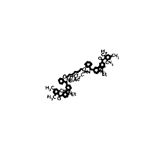 CCn1c2ccc(C(=O)c3c(C)cc(C)cc3C)cc2c2cc(C(=NCC(=O)O)c3ccccc3OCCCCCCOc3ccccc3C(=NOC(C)=O)c3ccc4c(c3)c3cc(C(=O)c5c(C)cc(C)cc5C)ccc3n4CC)ccc21